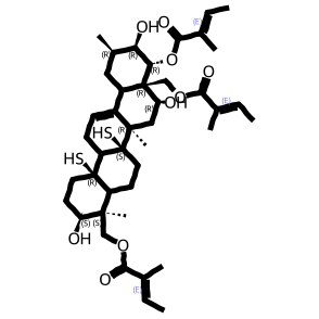 C/C=C(\C)C(=O)OC[C@@]12C(C[C@@H](C)[C@@H](O)[C@@H]1OC(=O)/C(C)=C/C)C1=CCC3[C@@]4(S)CC[C@H](O)[C@](C)(COC(=O)/C(C)=C/C)C4CC[C@@]3(S)[C@]1(C)C[C@H]2O